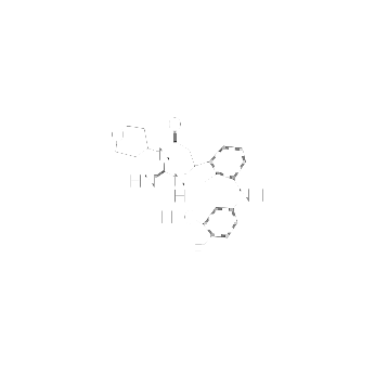 Cc1cc(Nc2cccc3c2C[C@]32CC(=O)N(C3CCOCC3)C(=N)N2)ccc1F